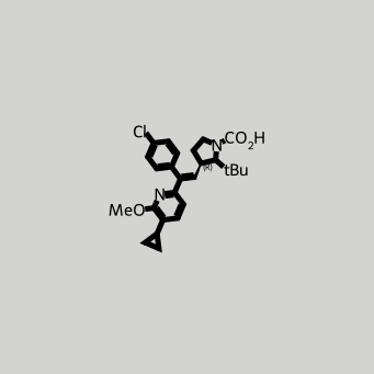 COc1nc(C(=C[C@H]2CCN(C(=O)O)C2C(C)(C)C)c2ccc(Cl)cc2)ccc1C1CC1